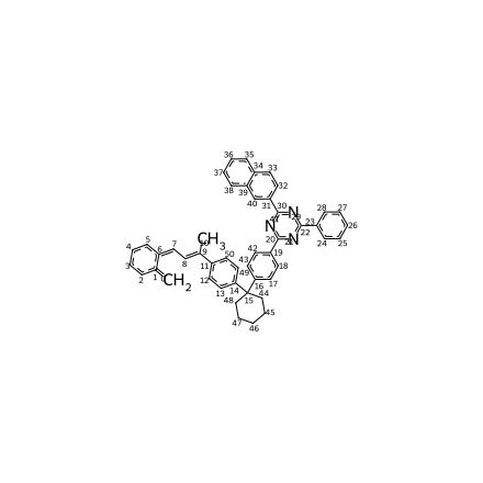 C=c1cccc/c1=C/C=C(\C)c1ccc(C2(c3ccc(-c4nc(-c5ccccc5)nc(-c5ccc6ccccc6c5)n4)cc3)CCCCC2)cc1